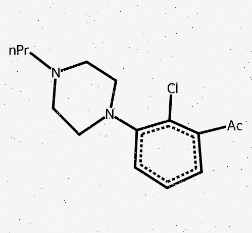 CCCN1CCN(c2cccc(C(C)=O)c2Cl)CC1